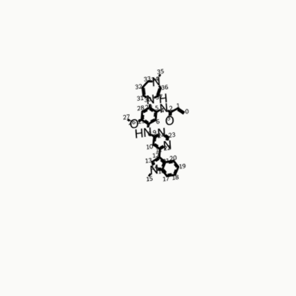 C=CC(=O)Nc1cc(Nc2cc(-c3cn(C)c4ccccc34)ncn2)c(OC)cc1N1C=CCN(C)C=C1